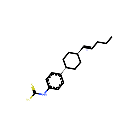 CCC/C=C/[C@H]1CC[C@H](c2ccc(NC(=S)S)cc2)CC1